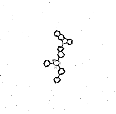 c1ccc(-c2cccc(C3=NC(c4ccc5cc(-n6c7ccccc7c7cc8ccccc8cc76)ccc5c4)NC(c4ccccc4)N3)c2)cc1